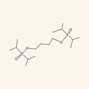 CC(C)P(=O)(OCCCCOP(=O)(C(C)C)C(C)C)C(C)C